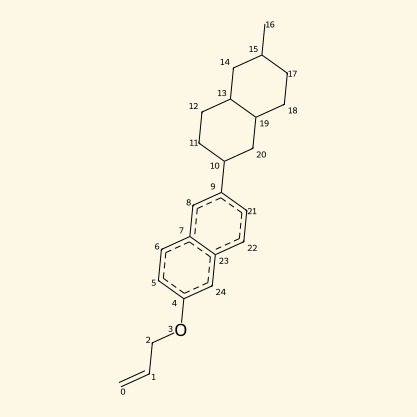 C=CCOc1ccc2cc(C3CCC4CC(C)CCC4C3)ccc2c1